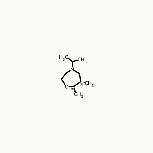 CC(C)N1CCO[C@H](C)[C@@H](C)C1